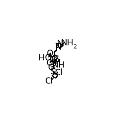 Cc1nc(N)cc[n+]1CC=CC1=C(C(=O)O)N2C(=O)[C@@H](NC(=O)CSc3cc(Cl)ccc3Cl)[C@H]2SC1